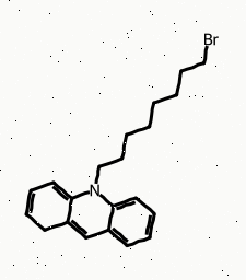 BrCCCCCCCCN1C2=CC=CCC2=Cc2ccccc21